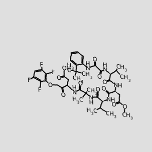 COC(=O)C[C@H](NC(=O)[C@@H](NC(=O)C(=O)Nc1ccccc1C(C)(C)C)C(C)C)C(=O)N[C@H](C(=O)NC(C)(C)C(=O)NC(CC(=O)O)C(=O)COc1c(F)c(F)cc(F)c1F)C(C)C